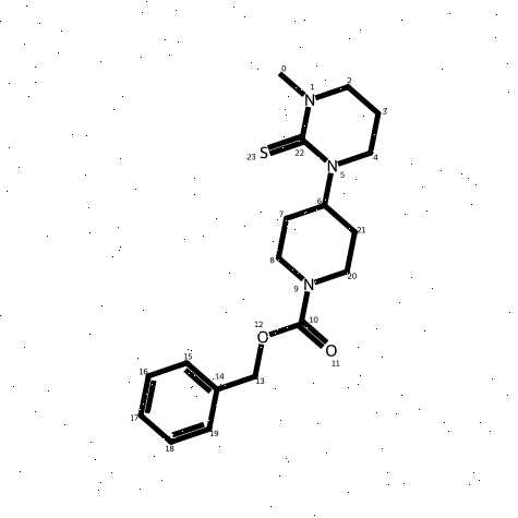 CN1CCCN(C2CCN(C(=O)OCc3ccccc3)CC2)C1=S